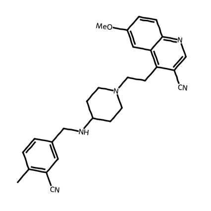 COc1ccc2ncc(C#N)c(CCN3CCC(NCc4ccc(C)c(C#N)c4)CC3)c2c1